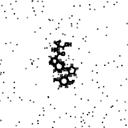 O=C(NC1(CO)CC1)c1cnn2cnc(N3CCCC3c3cc(F)ccc3F)nc12